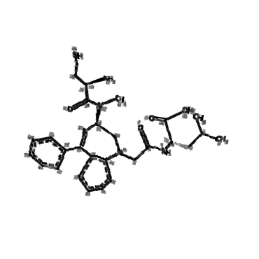 CC(C)C[C@H](NC(=O)CN1C[C@H](N(C)C(=O)[C@H](N)CS)N=C(c2ccccc2)c2ccccc21)C(=O)O